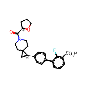 O=C(O)c1cccc(-c2ccc([C@H]3CC34CCN(C(=O)[C@H]3CCCO3)CC4)cc2)c1F